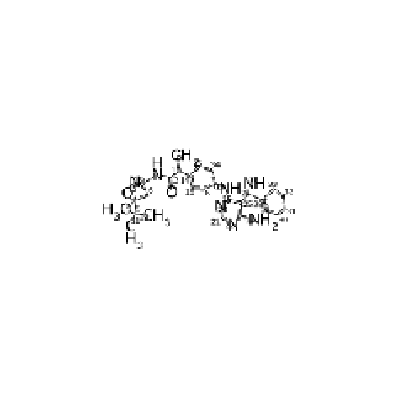 C=C(C(=O)Nc1cc(C(C)(C)C)on1)c1ccc(Nc2ncnc(N)c2C(=N)c2ccccc2)cc1